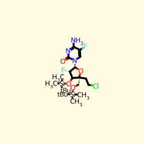 CC(C)(C)[Si](C)(C)OC[C@@]1(CCCl)O[C@@H](n2cc(F)c(N)nc2=O)[C@@H](F)C1O[Si](C)(C)C(C)(C)C